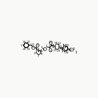 O=C(COC[C@@H]1CCCN1C(=O)OCc1ccccc1)C(=O)N1CCN(c2ncc(C(F)(F)F)cn2)CC1